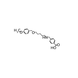 COc1ccc(COCCCCCNCc2ccc(C(=O)O)cc2)cc1